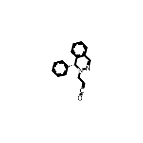 O=C=CCN1N=Cc2ccccc2[C@H]1c1ccccc1